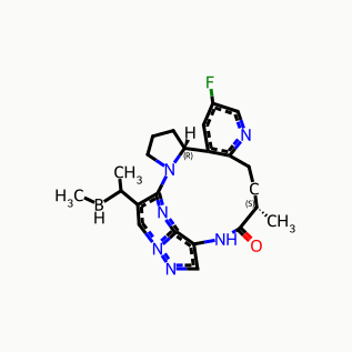 CBC(C)c1cn2ncc3c2nc1N1CCC[C@@H]1c1cc(F)cnc1CC[C@H](C)C(=O)N3